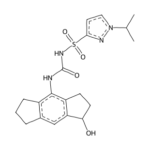 CC(C)n1ccc(S(=O)(=O)NC(=O)Nc2c3c(cc4c2CCC4O)CCC3)n1